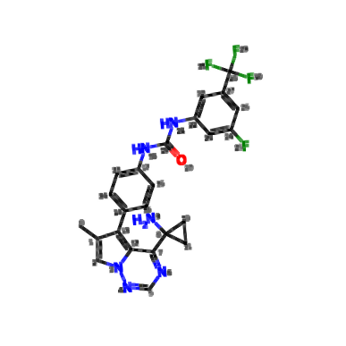 Cc1cn2ncnc(C3(N)CC3)c2c1-c1ccc(NC(=O)Nc2cc(F)cc(C(F)(F)F)c2)cc1